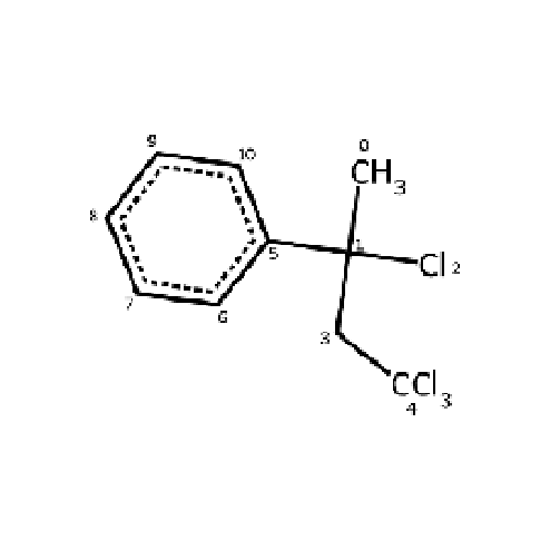 CC(Cl)(CC(Cl)(Cl)Cl)c1ccccc1